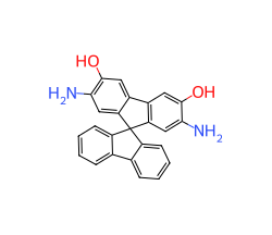 Nc1cc2c(cc1O)-c1cc(O)c(N)cc1C21c2ccccc2-c2ccccc21